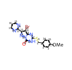 COc1ccc(CSc2nc3c(Br)c(-c4ncccn4)nn3c(=O)[nH]2)cc1